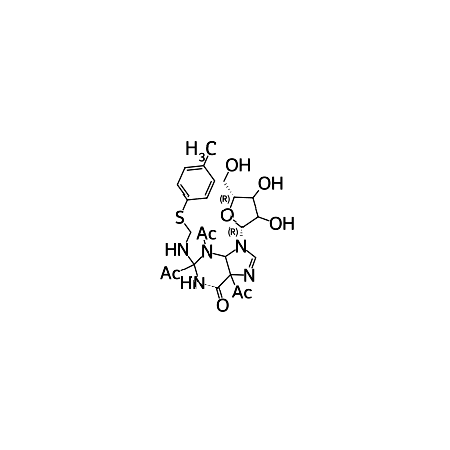 CC(=O)N1C2N([C@@H]3O[C@H](CO)C(O)C3O)C=NC2(C(C)=O)C(=O)NC1(NCSc1ccc(C)cc1)C(C)=O